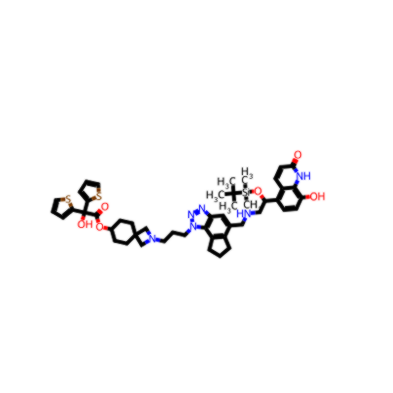 CC(C)(C)[Si](C)(C)OC(CNCc1cc2nnn(CCCN3CC4(CCC(OC(=O)C(O)(c5cccs5)c5cccs5)CC4)C3)c2c2c1CCC2)c1ccc(O)c2[nH]c(=O)ccc12